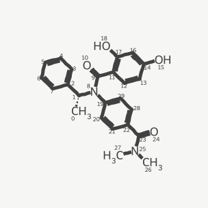 C[C@H](c1ccccc1)N(C(=O)c1ccc(O)cc1O)c1ccc(C(=O)N(C)C)cc1